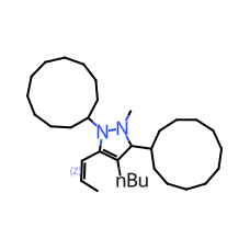 C/C=C\C1=C(CCCC)C(C2CCCCCCCCCC2)N(C)N1C1CCCCCCCCCC1